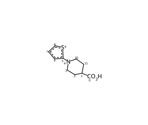 O=C(O)C1CCN(c2cccs2)CC1